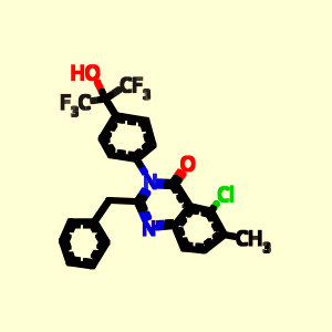 Cc1ccc2nc(Cc3ccccc3)n(-c3ccc(C(O)(C(F)(F)F)C(F)(F)F)cc3)c(=O)c2c1Cl